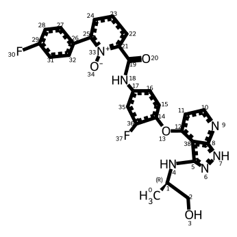 C[C@H](CO)Nc1n[nH]c2nccc(Oc3ccc(NC(=O)c4cccc(-c5ccc(F)cc5)[n+]4[O-])cc3F)c12